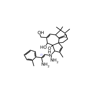 CC1=CC23CCC(C)C(C)(C)C(C=C(CO)C(O)C2(O)C1N(N)/C=C(\N)c1ccccc1C)C3=O